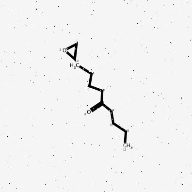 C1CO1.CCCCC(=O)CCCC